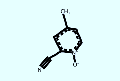 Cc1cc[n+]([O-])c(C#N)c1